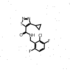 O=C(NCc1c(F)ccc(F)c1Cl)c1snnc1C1CC1